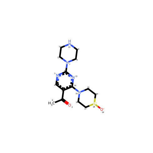 CC(=O)c1cnc(N2CCNCC2)nc1N1CC[S+]([O-])CC1